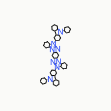 c1ccc(-n2c3ccccc3c3cc(-n4c5ccccc5n5c6cc7nc8n(-c9ccc%10c(c9)c9ccccc9n%10-c9ccccc9)c9ccccc9n8c7cc6nc45)ccc32)cc1